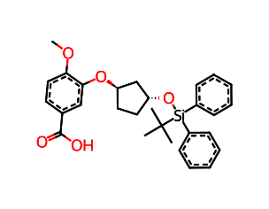 COc1ccc(C(=O)O)cc1O[C@@H]1CC[C@@H](O[Si](c2ccccc2)(c2ccccc2)C(C)(C)C)C1